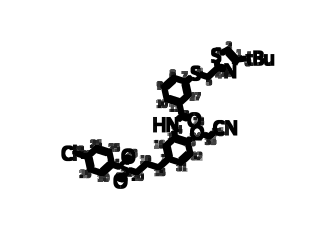 CC(C)(C)c1csc(CSc2cccc(C(=O)Nc3cc(CCCS(=O)(=O)c4ccc(Cl)cc4)ccc3OCC#N)c2)n1